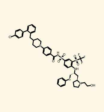 O=C(NS(=O)(=O)c1ccc(N[C@@H](CSc2ccccc2)C[C@@H]2CCCN2CCO)c(S(=O)(=O)C(F)(F)F)c1)c1ccc(N2CCC(Cc3ccccc3-c3ccc(Cl)cc3)CC2)cc1